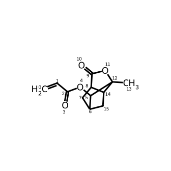 C=CC(=O)OC1C2CC3C(=O)OC1(C)C3C2